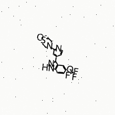 [O-][S+]1CCN(c2cc(-c3n[nH]c4ccc(OC(F)(F)F)cc34)ccn2)CC1